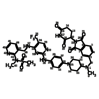 CN(Cc1ccc2c(c1)C(=O)N(C1CCC(=O)NC1=O)C2=O)C1CCN(c2ccc(Nc3ncc(C(F)(F)F)c(NCc4cccnc4N(C)S(C)(=O)=O)n3)cc2)CC1